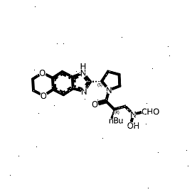 CCCC[C@H](CN(O)C=O)C(=O)N1CCC[C@H]1c1nc2cc3c(cc2[nH]1)OCCO3